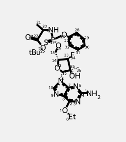 CCOc1nc(N)nc2c1ncn2[C@@H]1O[C@H](COP(=S)(NC(C)C(=O)OC(C)(C)C)Oc2ccccc2)[C@@H](F)[C@@]1(C)O